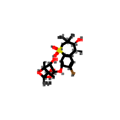 CCCC[C@]1(CC)CS(=O)(=O)c2cc(OC3OC4(C(=O)O)OC(C)(C3O)C4(C)O)c(Br)cc2[C@@H](C)[C@H]1O